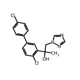 CC(O)(Cn1cncn1)c1cc(-c2ccc(Cl)cc2)ccc1Cl